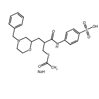 CC(=O)SCC(CC1CN(Cc2ccccc2)CCO1)C(=O)Nc1ccc(S(=O)(=O)O)cc1.[NaH]